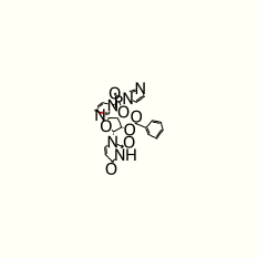 CC[C@H]1O[C@@H](n2ccc(=O)[nH]c2=O)[C@@H](OC(=O)c2ccccc2)C1OP(=O)(n1ccnc1)n1ccnc1